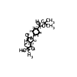 CC(C)(C)OC(=O)c1ccc(N2CC(C(=O)C(C)(C)O)CC2=O)cc1